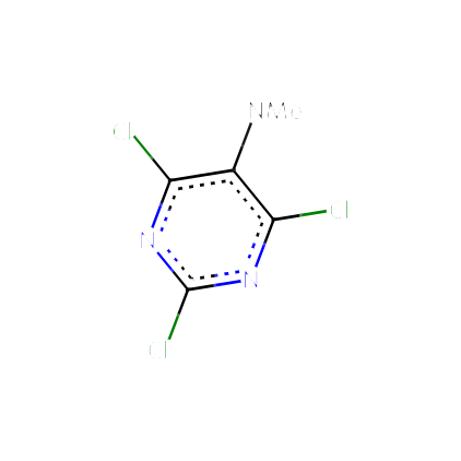 CNc1c(Cl)nc(Cl)nc1Cl